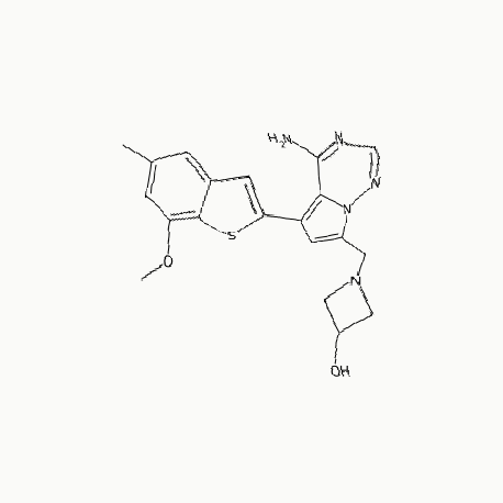 COc1cc(C)cc2cc(-c3cc(CN4CC(O)C4)n4ncnc(N)c34)sc12